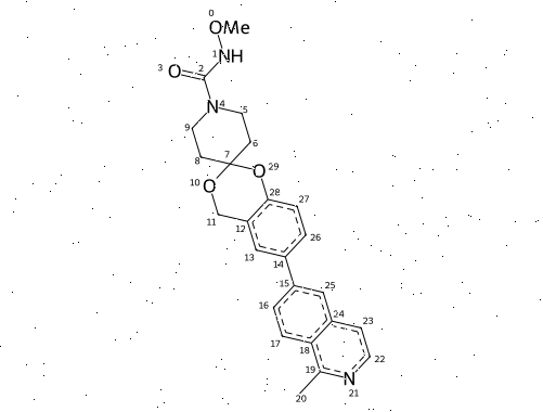 CONC(=O)N1CCC2(CC1)OCc1cc(-c3ccc4c(C)nccc4c3)ccc1O2